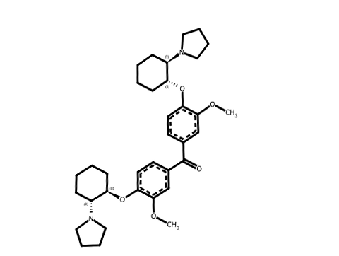 COc1cc(C(=O)c2ccc(O[C@@H]3CCCC[C@H]3N3CCCC3)c(OC)c2)ccc1O[C@@H]1CCCC[C@H]1N1CCCC1